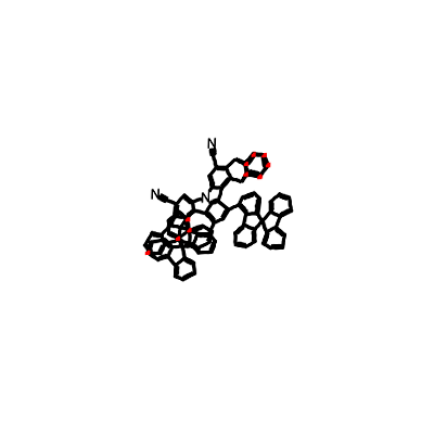 N#Cc1cc2c(c3c1C1c4ccccc4C3c3ccccc31)c1c(-c3cccc4c3-c3ccccc3C43c4ccccc4-c4ccccc43)cc(-c3cccc4c3-c3ccccc3C43c4ccccc4-c4ccccc43)c3c4c5c(c(C#N)cc4n2c13)C1c2ccccc2C2c3ccccc3C521